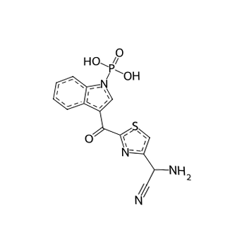 N#CC(N)c1csc(C(=O)c2cn(P(=O)(O)O)c3ccccc23)n1